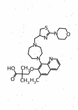 Cc1cc2cccnc2c(N2CCCN(CC3CSC(N4CCOCC4)=N3)CC2)c1OCC(C)(C)C(=O)O